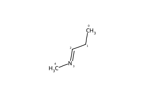 CCC=NC